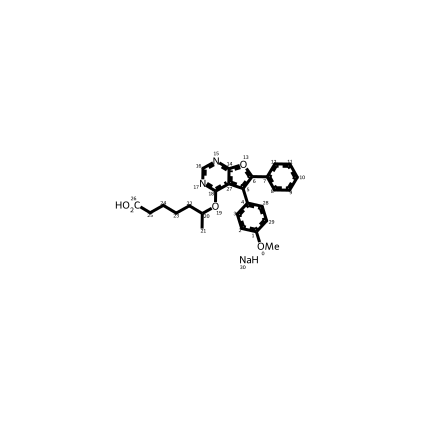 COc1ccc(-c2c(-c3ccccc3)oc3ncnc(OC(C)CCCCC(=O)O)c23)cc1.[NaH]